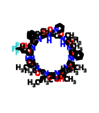 CCCCN1CC(=O)N(C)[C@@H](CC(C)C)C(=O)N[C@@H](CCCC(O)C(F)(F)F)C(=O)N(C)[C@@H](Cc2ccccc2)C(=O)N(C)[C@@H](C(C)C)C(=O)N[C@H](C(=O)N2CCCCC2)CC(=O)N[C@H](C(C)C)C(=O)N(C)[C@@H](Cc2ccccc2)C(=O)N[C@@H](CC(C)C)C(=O)N(C)[C@@H](CC(C)C)C(=O)N[C@@H]([C@@H](C)O)C1=O